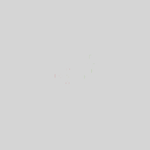 O=S(=O)(O)C(=C1CCC(F)(F)C1(F)F)c1ccccc1